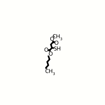 CCCCCCOC(=O)C(S)CC(=O)OC